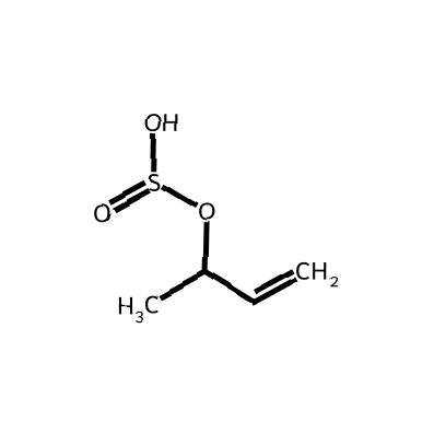 C=CC(C)OS(=O)O